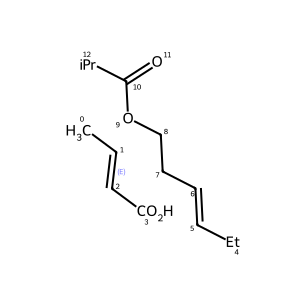 C/C=C/C(=O)O.CCC=CCCOC(=O)C(C)C